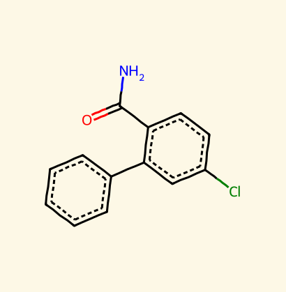 NC(=O)c1ccc(Cl)cc1-c1ccccc1